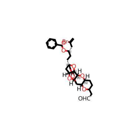 C=C(Br)C[C@H](CC[C@@]12C[C@H]3O[C@H]4C(O1)[C@H]1OC(CC=O)CC[C@@H]1O[C@H]4[C@H]3O2)OC(=O)c1ccccc1